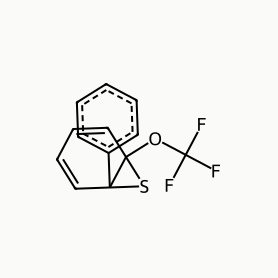 FC(F)(F)OC12C=CC=CC1(c1ccccc1)S2